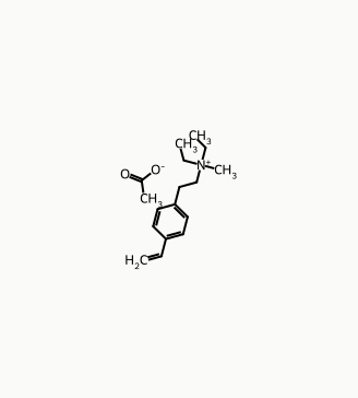 C=Cc1ccc(CC[N+](C)(CC)CC)cc1.CC(=O)[O-]